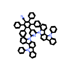 N#Cc1c(-c2ccccc2)c(-c2ccccc2)c(-c2cc(-n3c4ccccc4c4c3ccc3c5ccccc5n(-c5ccccc5)c34)nc(-n3c4ccccc4c4c3ccc3c5ccccc5n(-c5ccccc5)c34)c2)c(-c2ccccc2)c1-c1ccccc1